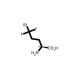 CCC(F)(F)CC[C@H](N)C(=O)O